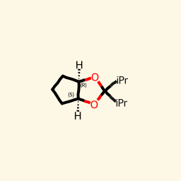 CC(C)C1(C(C)C)O[C@H]2CCC[C@H]2O1